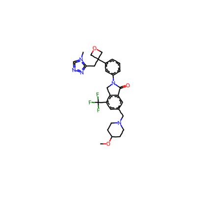 COC1CCN(Cc2cc3c(c(C(F)(F)F)c2)CN(c2cccc(C4(Cc5nncn5C)COC4)c2)C3=O)CC1